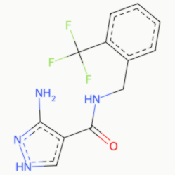 Nc1n[nH]cc1C(=O)NCc1ccccc1C(F)(F)F